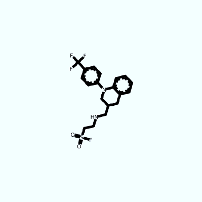 O=S(=O)(F)CCNCC1Cc2ccccc2N(c2ccc(C(F)(F)F)cc2)C1